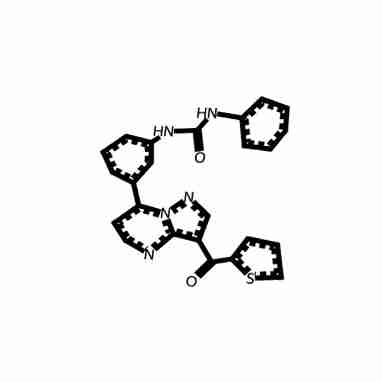 O=C(Nc1ccccc1)Nc1cccc(-c2ccnc3c(C(=O)c4cccs4)cnn23)c1